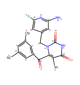 CC(C)c1c(C(=O)c2cc(C#N)cc(C#N)c2)n(Cc2cc(N)nc(F)c2)c(=O)[nH]c1=O